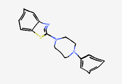 [CH]1CN(c2ccccc2)CCN1c1nc2ccccc2s1